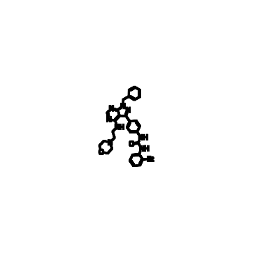 CCc1ccccc1NC(=O)Nc1ccc(-c2nn(Cc3ccccc3)c3ncnc(NCCN4CCOCC4)c23)cc1